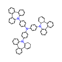 C1=CC2c3ccccc3-c3ccccc3N(c3ccc(N(c4ccc(N5C6=C(C=CCC6)c6ccccc6-c6ccccc65)cc4)c4ccc(N5c6ccccc6-c6ccccc6-c6ccccc65)cc4)cc3)C2C=C1